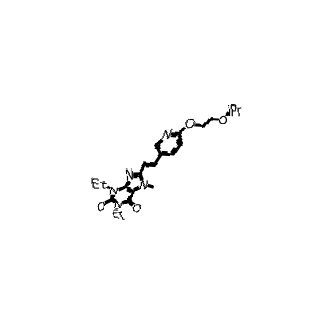 CCn1c(=O)c2c(nc(/C=C/c3ccc(OCCOC(C)C)nc3)n2C)n(CC)c1=O